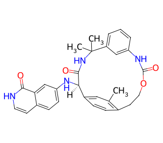 Cc1cc2ccc1CCOC(=O)Nc1cccc(c1)C(C)(C)NC(=O)[C@@H]2Nc1ccc2cc[nH]c(=O)c2c1